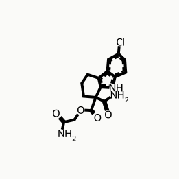 NC(=O)COC(=O)C1(C(N)=O)CCCc2c1[nH]c1ccc(Cl)cc21